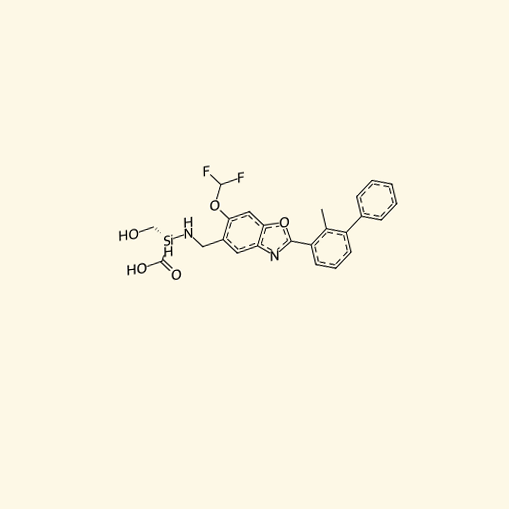 Cc1c(-c2ccccc2)cccc1-c1nc2cc(CN[Si@@H](CO)C(=O)O)c(OC(F)F)cc2o1